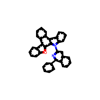 c1ccc(-c2nc(-n3c4ccccc4c4c5ccccc5c5c6ccccc6oc5c43)cc3ccccc23)cc1